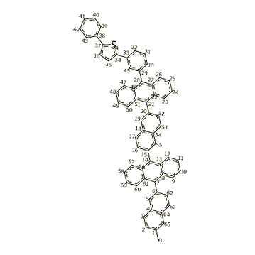 Cc1ccc2cc(-c3c4ccccc4c(-c4ccc5cc(-c6c7ccccc7c(-c7cccc(-c8ccc(-c9ccccc9)s8)c7)c7ccccc67)ccc5c4)c4ccccc34)ccc2c1